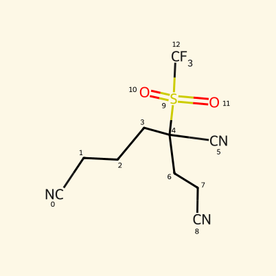 N#CCCCC(C#N)(CCC#N)S(=O)(=O)C(F)(F)F